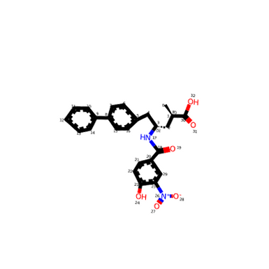 C[C@H](C[C@@H](Cc1ccc(-c2ccccc2)cc1)NC(=O)c1ccc(O)c([N+](=O)[O-])c1)C(=O)O